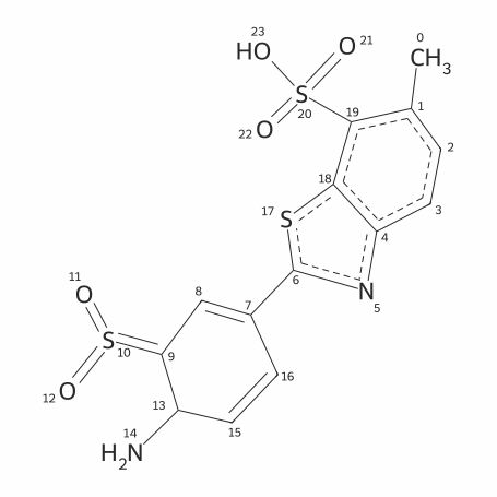 Cc1ccc2nc(C3=CC(=S(=O)=O)C(N)C=C3)sc2c1S(=O)(=O)O